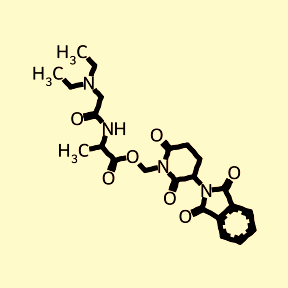 CCN(CC)CC(=O)NC(C)C(=O)OCN1C(=O)CCC(N2C(=O)c3ccccc3C2=O)C1=O